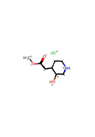 COC(=O)CC1CCNCC1O.Cl